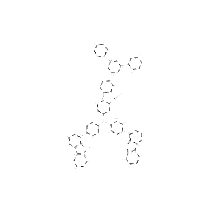 CC1(C)c2cc(-c3cc(-c4ccccc4)cc(-c4ccccc4)c3)ccc2-c2ccc(N(c3ccc(-c4cccc5c4sc4ccccc45)cc3)c3ccc(-c4cccc5c4sc4ccccc45)cc3)cc21